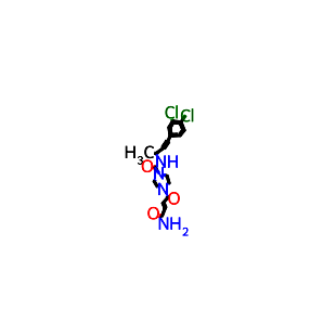 CC(C#Cc1ccc(Cl)c(Cl)c1)NC(=O)N1CCN(C(=O)C=CC(N)=O)CC1